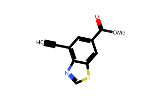 C#Cc1cc(C(=O)OC)cc2scnc12